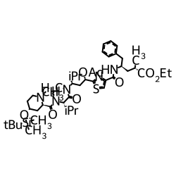 CCOC(=O)[C@@H](C)C[C@H](Cc1ccccc1)NC(=O)c1csc([C@@H](C[C@H](C(C)C)N(C)C(=O)[C@@H](NC(=O)[C@H]2C[C@H](O[Si](C)(C)C(C)(C)C)CCN2C)C(C)C)OC(C)=O)n1